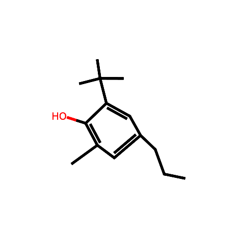 CCCc1cc(C)c(O)c(C(C)(C)C)c1